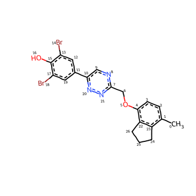 Cc1ccc(OCc2ncc(-c3cc(Br)c(O)c(Br)c3)nn2)c2c1CCC2